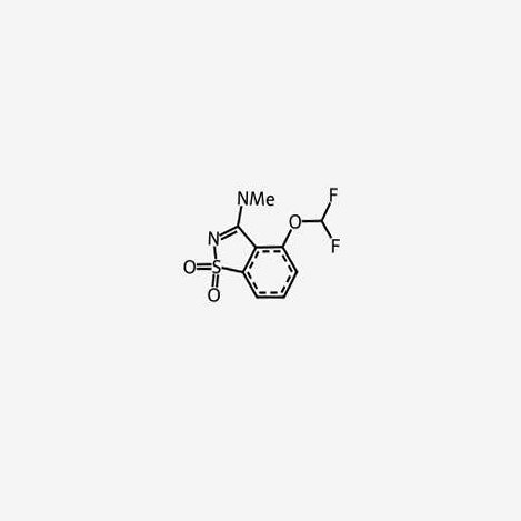 CNC1=NS(=O)(=O)c2cccc(OC(F)F)c21